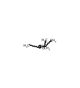 CCCCCCCCCc1ccc(OC(=O)C(C)(CCCCCC)CCCCCCCC)cc1